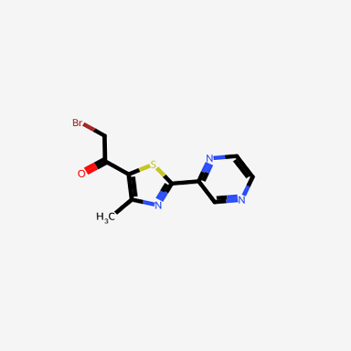 Cc1nc(-c2cnccn2)sc1C(=O)CBr